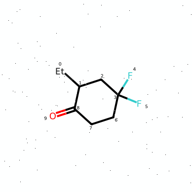 CCC1CC(F)(F)CCC1=O